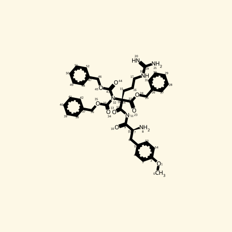 COc1ccc(C[C@H](N)C(=O)[N]C(=O)[C@@](CCCNC(=N)N)(C(=O)OCc2ccccc2)N(C(=O)OCc2ccccc2)C(=O)OCc2ccccc2)cc1